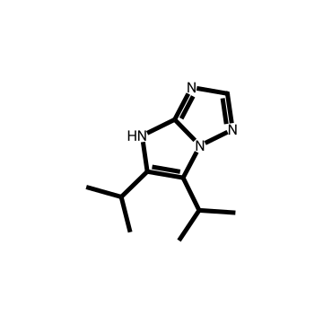 CC(C)c1[nH]c2ncnn2c1C(C)C